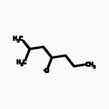 CCCC([O])CC(C)C